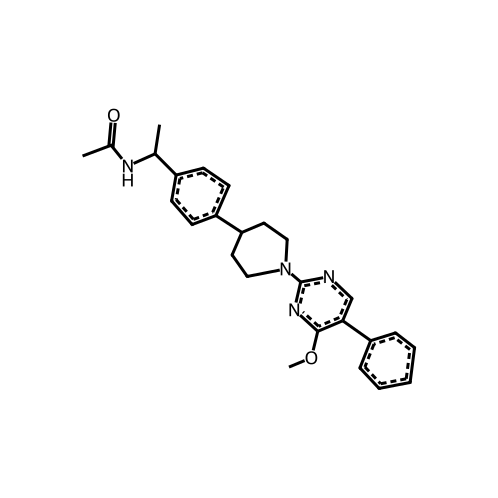 COc1nc(N2CCC(c3ccc(C(C)NC(C)=O)cc3)CC2)ncc1-c1ccccc1